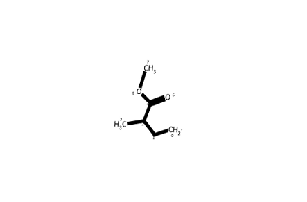 [CH2]CC(C)C(=O)OC